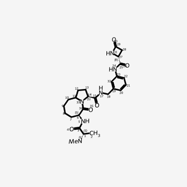 CN[C@@H](C)C(=O)N[C@H]1CCCCC2CC[C@@H](C(=O)NCc3cccc(NC(=O)[C@H]4CC(=O)N4)c3)N2C1=O